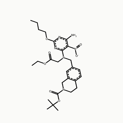 CCCCOc1nc(N)c([N+](=O)[O-])c(N(CC(=O)OCC)Cc2ccc3c(c2)CN(C(=O)OC(C)(C)C)CC3)n1